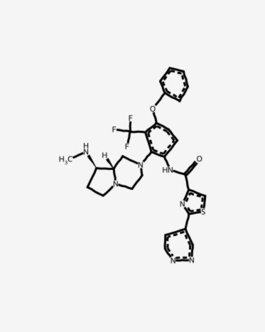 CN[C@@H]1CCN2CCN(c3c(NC(=O)c4csc(-c5ccnnc5)n4)ccc(Oc4ccccc4)c3C(F)(F)F)C[C@@H]12